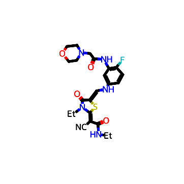 CCNC(=O)C(C#N)=c1sc(=CNc2ccc(F)c(NC(=O)CN3CCOCC3)c2)c(=O)n1CC